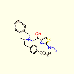 CC(Cc1ccc(C(=O)O)cc1)N(Cc1ccccc1)CC(O)c1csc(N)n1